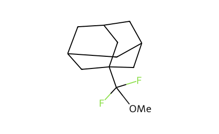 COC(F)(F)C12CC3CC(CC(C3)C1)C2